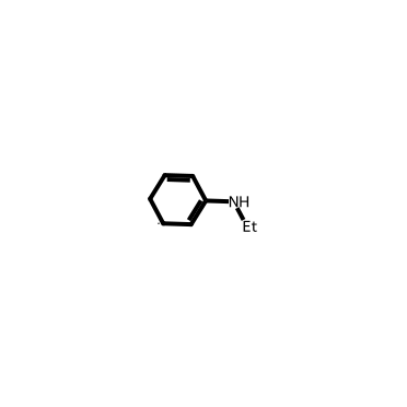 CCNC1=C[CH]CC=C1